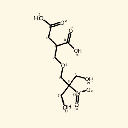 O=C(O)CC(COCC(CO)(CO)[N+](=O)[O-])C(=O)O